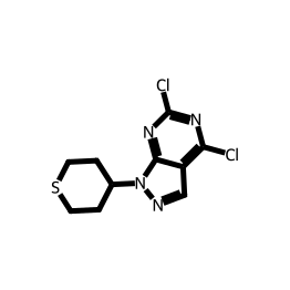 Clc1nc(Cl)c2cnn(C3CCSCC3)c2n1